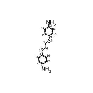 Nc1ccc(SCCSc2ccc(N)cc2)cc1